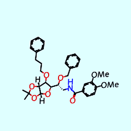 COc1ccc(C(=O)NC[C@@H](OCc2ccccc2)[C@H]2O[C@@H]3OC(C)(C)O[C@@H]3[C@H]2OCCCc2ccccc2)cc1OC